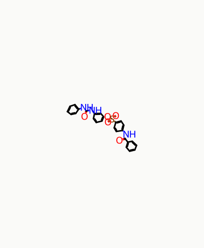 O=C(Nc1ccccc1)Nc1cccc(OS(=O)(=O)c2ccc(NC(=O)c3ccccc3)cc2)c1